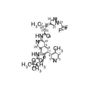 Cc1ccncc1-c1cc2cc(NC(=O)[C@H]3C(C)[C@@H]3c3cnn(CC(F)F)c3)ncc2c(NC(=O)OC(C)(C)C)c1F